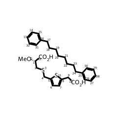 CO[C@@H](CSCc1ccc(CC(=O)O)s1)C(=O)O.c1ccc(CCCCCCCCc2ccccc2)cc1